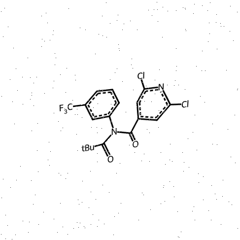 CC(C)(C)C(=O)N(C(=O)c1cc(Cl)nc(Cl)c1)c1cccc(C(F)(F)F)c1